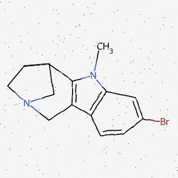 Cn1c2c(c3ccc(Br)cc31)CN1CCC2C1